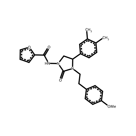 COc1ccc(CCN2C(=O)N(NC(=O)c3ccco3)CC2c2ccc(C)c(C)c2)cc1